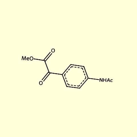 COC(=O)C(=O)c1ccc(NC(C)=O)cc1